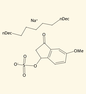 CCCCCCCCCCCCCCCCCCCCCCCCC.COc1ccc2c(c1)C(=O)CC2OS(=O)(=O)[O-].[Na+]